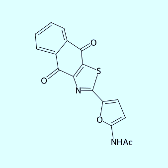 CC(=O)Nc1ccc(-c2nc3c(s2)C(=O)c2ccccc2C3=O)o1